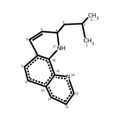 CC(C)CC1C=Cc2ccc3cccnc3c2N1